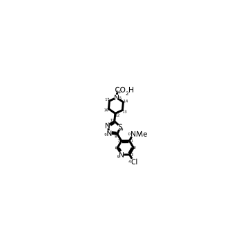 CNc1cc(Cl)ncc1-c1nnc(C2CCN(C(=O)O)CC2)s1